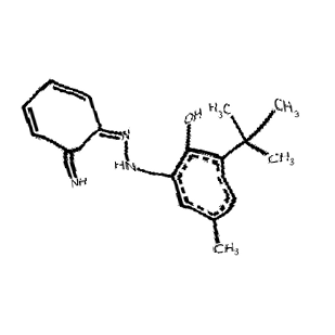 Cc1cc(N/N=C2/C=CC=CC2=N)c(O)c(C(C)(C)C)c1